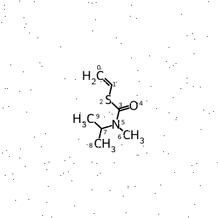 C=CSC(=O)N(C)C(C)C